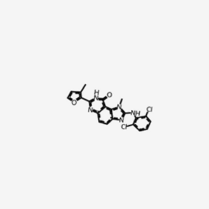 Cc1ccoc1-c1nc2ccc3nc(Nc4c(Cl)cccc4Cl)n(C)c3c2c(=O)[nH]1